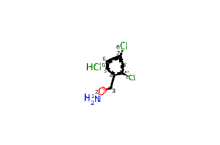 Cl.NOCc1ccc(Cl)cc1Cl